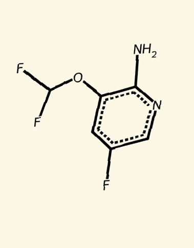 Nc1ncc(F)cc1OC(F)F